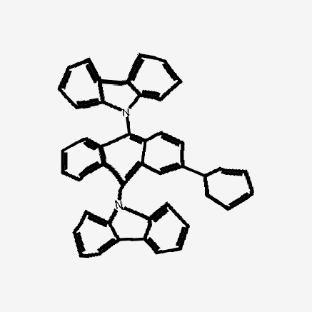 C1=CCC(c2ccc3c(-n4c5ccccc5c5ccccc54)c4ccccc4c(-n4c5ccccc5c5ccccc54)c3c2)C=C1